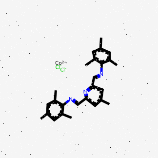 Cc1cc(C=Nc2c(C)cc(C)cc2C)nc(C=Nc2c(C)cc(C)cc2C)c1.[Cl-].[Cl-].[Co+2]